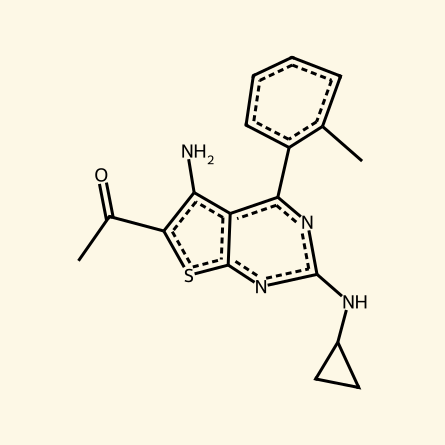 CC(=O)c1sc2nc(NC3CC3)nc(-c3ccccc3C)c2c1N